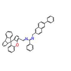 C1=CC2c3ccccc3C3(c4ccccc4Oc4c(/C=N/C(=N\Cc5ccc6cc(-c7ccccc7)ccc6c5)c5ccccc5)cccc43)C2C=C1